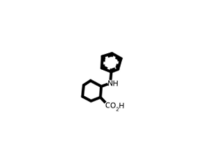 O=C(O)C1CCCCC1Nc1ccccc1